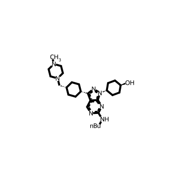 CCCCNc1ncc2c(n1)n([C@H]1CC[C@H](O)CC1)nc2[C@H]1CC[C@@H](CN2CCN(C)CC2)CC1